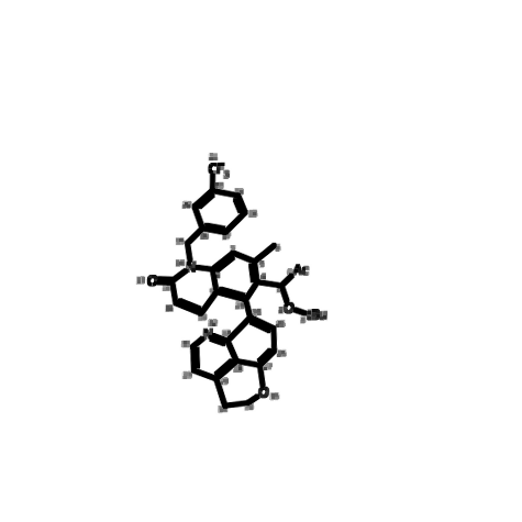 CC(=O)C(OC(C)(C)C)c1c(C)cc2c(ccc(=O)n2Cc2cccc(C(F)(F)F)c2)c1-c1ccc2c3c(ccnc13)CCO2